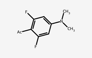 CC(=O)c1c(F)cc(N(C)C)cc1F